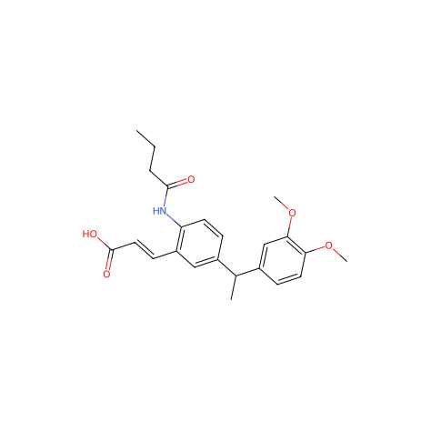 CCCC(=O)Nc1ccc(C(C)c2ccc(OC)c(OC)c2)cc1C=CC(=O)O